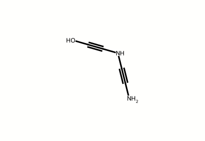 NC#CNC#CO